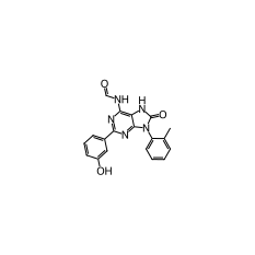 Cc1ccccc1-n1c(=O)[nH]c2c(NC=O)nc(-c3cccc(O)c3)nc21